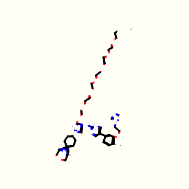 COCCOCCOCCOCCOCCOCCOCCOc1nn([C@H]2CC[C@H](N3[C@@H]4CC[C@H]3COC4)CC2)cc1Nc1ncc(-c2ccc(C#N)c(O[C@@H](C)Cn3cncn3)c2)cn1